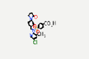 Cc1cc(Cl)cnc1N(Cc1ccc(N2CCCC2=O)cc1)S(=O)(=O)c1ccc(C(=O)O)cc1